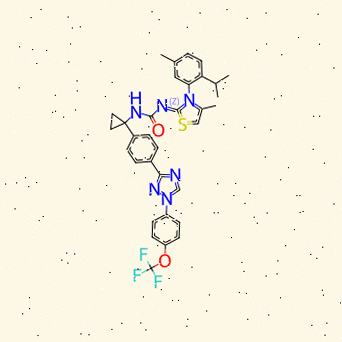 Cc1ccc(C(C)C)c(-n2c(C)cs/c2=N\C(=O)NC2(c3ccc(-c4ncn(-c5ccc(OC(F)(F)F)cc5)n4)cc3)CC2)c1